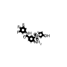 Nc1ccc(C(=O)Nc2cc(F)c(F)c(F)c2)cc1S(=O)(=O)N1CCC(O)C1